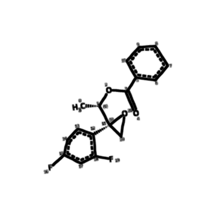 C[C@H](OC(=O)c1ccccc1)[C@]1(c2ccc(F)cc2F)CO1